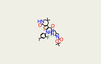 CC1(C)CNC(=O)c2sc(Nc3ccc(I)cc3F)c(C(=O)NCC3CN(C(=O)OC(C)(C)C)C3)c2C1